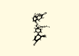 N#Cc1cc(F)ccc1N1CCC(COc2ccc(F)c3c2CCC(=O)N3)(ON)CC1